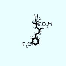 CC(CCc1cccc(C(F)(F)F)c1)CC(C)(N)C(=O)O